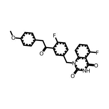 COc1ccc(CC(=O)c2cc(Cn3c(=O)[nH]c(=O)c4c(F)cccc43)ccc2F)cc1